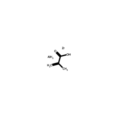 C=C(C)C(=O)O.[AlH3].[Zr]